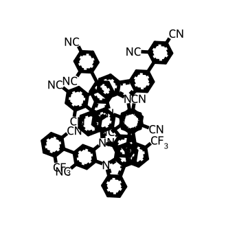 N#Cc1ccc(-c2ccc3c(c2)c2ccccc2n3-c2cc(-c3c(C#N)cccc3C(F)(F)F)c(C#N)cc2-n2c3ccc(-c4ccc(C#N)cc4C#N)cc3c3ccc(-c4cc(C#N)cc(C#N)c4-c4ccc5c6ccccc6n(-c6cc(-c7c(C#N)cccc7C(F)(F)F)c(C#N)cc6-n6c7ccccc7c7ccc(-c8ccc(C#N)cc8C#N)cc76)c5c4)cc32)c(C#N)c1